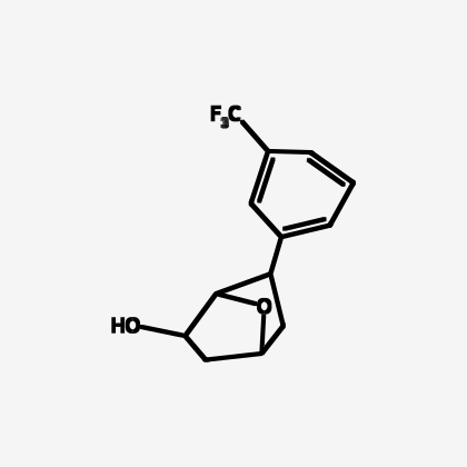 OC1CC2CC(c3cccc(C(F)(F)F)c3)C1O2